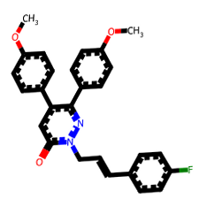 COc1ccc(-c2cc(=O)n(CC=Cc3ccc(F)cc3)nc2-c2ccc(OC)cc2)cc1